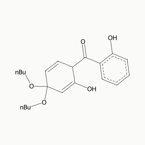 CCCCOC1(OCCCC)C=CC(C(=O)c2ccccc2O)C(O)=C1